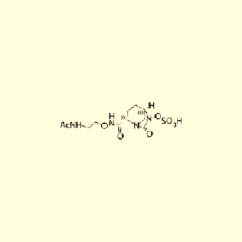 CC(=O)NCCONC(=O)[C@@H]1CC[C@@H]2CN1C(=O)N2OS(=O)(=O)O